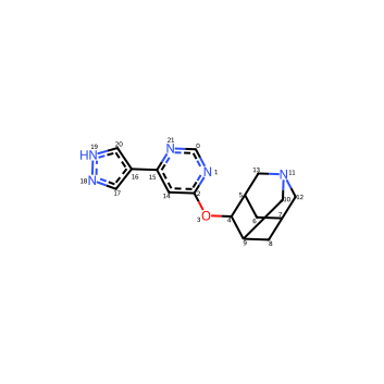 c1nc(OC2C3CC4CC2CN(C4)C3)cc(-c2cn[nH]c2)n1